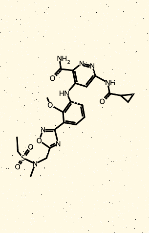 CCS(=O)(=O)N(C)Cc1nc(-c2cccc(Nc3cc(NC(=O)C4CC4)nnc3C(N)=O)c2OC)no1